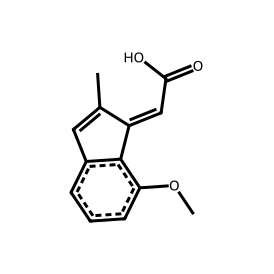 COc1cccc2c1C(=CC(=O)O)C(C)=C2